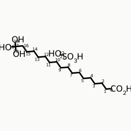 O=C(O)CCCCCCCCCCCCCCCCC(O)(O)O.O=S(=O)(O)O